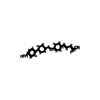 CCCc1ccc(C2CCC(COC3CCC(C=CC=C(F)C#N)CC3)CC2)cc1